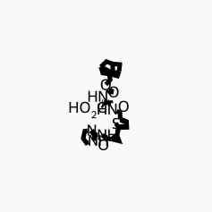 O=C(N[C@@H](CNC(=O)c1ccc(C2CC2C(=O)NC2=NCCCN2)s1)C(=O)O)OCC12CC3CC(CC(C3)C1)C2